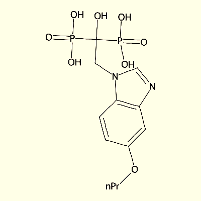 CCCOc1ccc2c(c1)ncn2CC(O)(P(=O)(O)O)P(=O)(O)O